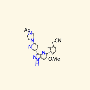 COc1cc2[nH]nc(-c3ccc(N4CCN(C(C)=O)CC4)nc3)c2nc1-c1cccc(CC#N)c1C